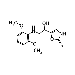 COc1cccc(OC)c1NCC(O)c1c[nH]c(=S)o1